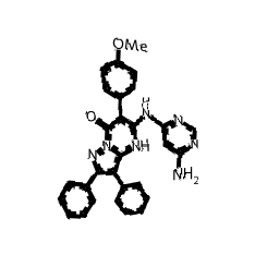 COc1ccc(-c2c(Nc3cc(N)ncn3)[nH]c3c(-c4ccccc4)c(-c4ccccc4)nn3c2=O)cc1